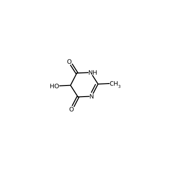 CC1=NC(=O)C(O)C(=O)N1